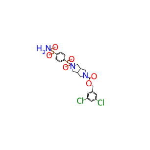 NS(=O)(=O)c1ccc(S(=O)(=O)N2CC3CN(C(=O)OCc4cc(Cl)cc(Cl)c4)CC3C2)cc1